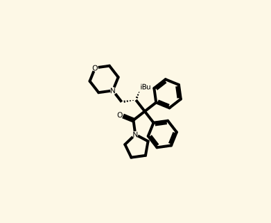 CC[C@@H](C)[C@@H](CN1CCOCC1)C(C(=O)N1CCCC1)(c1ccccc1)c1ccccc1